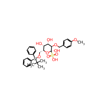 COc1ccc(CO[C@@H]2[C@@H](O)[C@@H](O)[C@@H](CO[Si](c3ccccc3)(c3ccccc3)C(C)(C)C)O[C@]2(O)S(=O)(=O)O)cc1